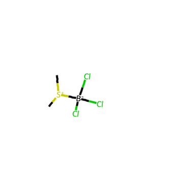 C[S+](C)[B-](Cl)(Cl)Cl